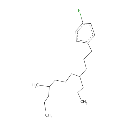 CCCC(C)CCCC(CCC)CCCc1ccc(F)cc1